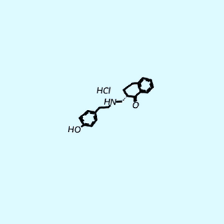 Cl.O=C1c2ccccc2CC[C@H]1CNCCc1ccc(O)cc1